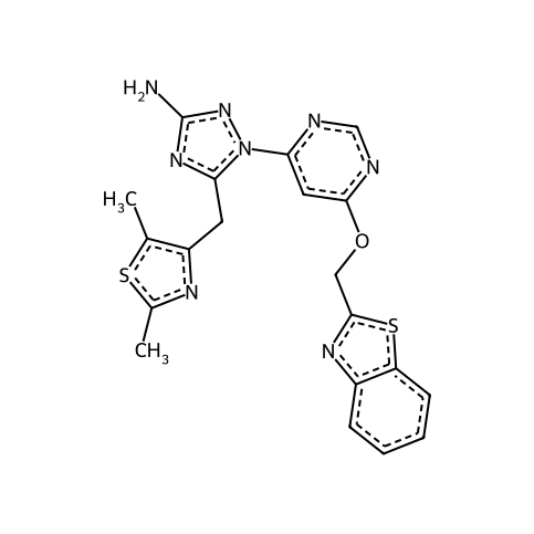 Cc1nc(Cc2nc(N)nn2-c2cc(OCc3nc4ccccc4s3)ncn2)c(C)s1